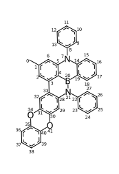 Cc1cc2c3c(c1)N(c1ccccc1)c1ccccc1B3N(c1ccccc1)c1cc3c(cc1-2)Oc1ccccc1O3